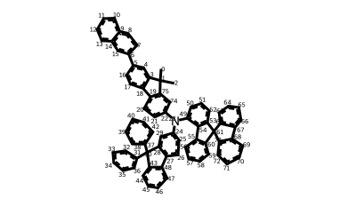 CC1(C)c2cc(-c3ccc4ccccc4c3)ccc2-c2ccc(N(c3ccc4c(c3)C(c3ccccc3)(c3ccccc3)c3ccccc3-4)c3cccc4c3-c3ccccc3C43c4ccccc4-c4ccccc43)cc21